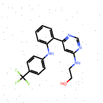 OCCNc1cc(-c2ccccc2Nc2ccc(C(F)(F)F)cc2)ncn1